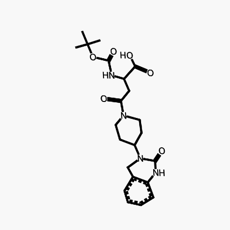 CC(C)(C)OC(=O)NC(CC(=O)N1CCC(N2Cc3ccccc3NC2=O)CC1)C(=O)O